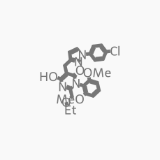 CCOCc1nc(O)c(Cc2ccn(-c3ccc(Cl)cc3)n2)c(=O)n1-c1c(OC)cccc1OC